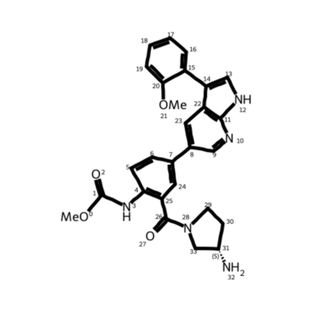 COC(=O)Nc1ccc(-c2cnc3[nH]cc(-c4ccccc4OC)c3c2)cc1C(=O)N1CC[C@H](N)C1